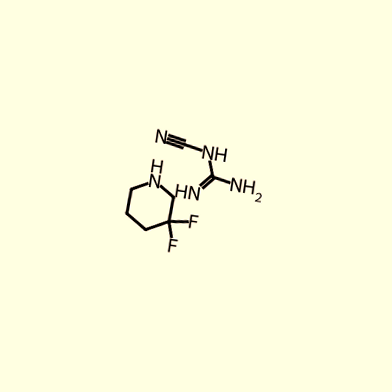 FC1(F)CCCNC1.N#CNC(=N)N